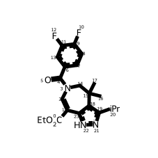 CCOC(=O)C1=CN(C(=O)c2ccc(F)c(F)c2)CC(C)(C)c2c(C(C)C)n[nH]c21